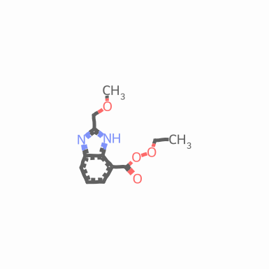 CCOOC(=O)c1cccc2nc(COC)[nH]c12